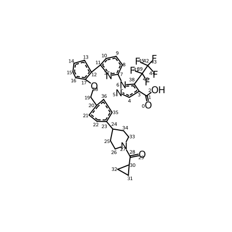 O=C(O)c1cnn(-c2cccc(-c3ccccc3OCc3ccc(C4CCN(C(=O)C5CC5)CC4)cc3)n2)c1C(F)(F)C(F)(F)F